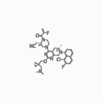 C=C(F)C(=O)N1CCN(c2nc(OCC3(CN(C)C)CC3)nc3c2C[C@H](C)N(c2cccc4ccc(F)c(Cl)c24)C3)C[C@@H]1CC#N